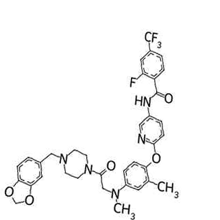 Cc1cc(N(C)CC(=O)N2CCN(Cc3ccc4c(c3)OCO4)CC2)ccc1Oc1ccc(NC(=O)c2ccc(C(F)(F)F)cc2F)cn1